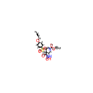 CC#CCOc1ccc(S(=O)(=O)CC2(C(=O)NO)CCN(C(=O)OC(C)(C)C)CC2)cc1